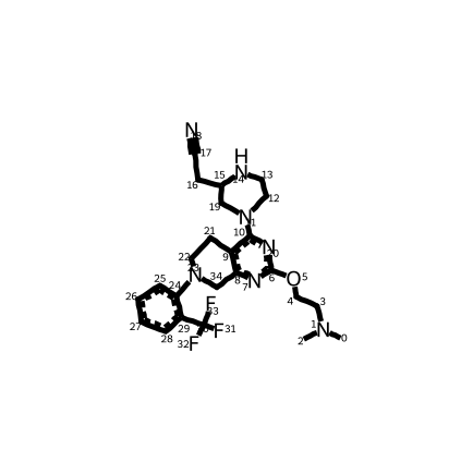 CN(C)CCOc1nc2c(c(N3CCNC(CC#N)C3)n1)CCN(c1ccccc1C(F)(F)F)C2